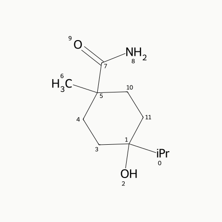 CC(C)C1(O)CCC(C)(C(N)=O)CC1